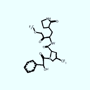 O=C1NCCC1CC(NC(=O)C1CC(C(F)(F)F)CN1C(=O)C(O)c1ccccc1)C(=O)COC(F)(F)F